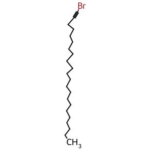 CCCCCCCCCCCCCCCCCCCCC#CBr